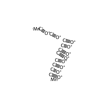 [C-]#[O+].[C-]#[O+].[C-]#[O+].[C-]#[O+].[C-]#[O+].[C-]#[O+].[C-]#[O+].[C-]#[O+].[C-]#[O+].[C-]#[O+].[Mn].[Mn]